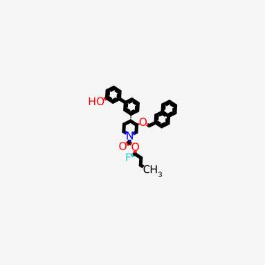 CCCC(F)OC(=O)N1CC[C@H](c2cccc(-c3cccc(O)c3)c2)[C@@H](OCc2ccc3ccccc3c2)C1